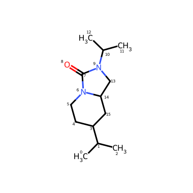 CC(C)C1CCN2C(=O)N(C(C)C)CC2C1